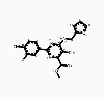 COC(=O)c1nc(-c2ccc(Cl)c(F)c2)nc(NCc2ccco2)c1Cl